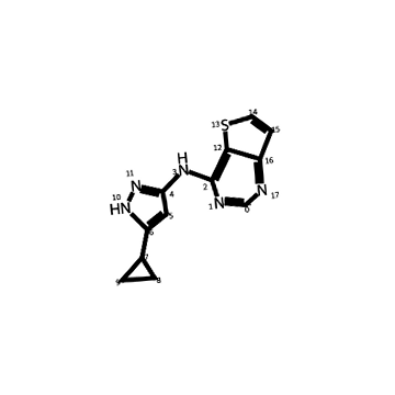 [c]1nc(Nc2cc(C3CC3)[nH]n2)c2sccc2n1